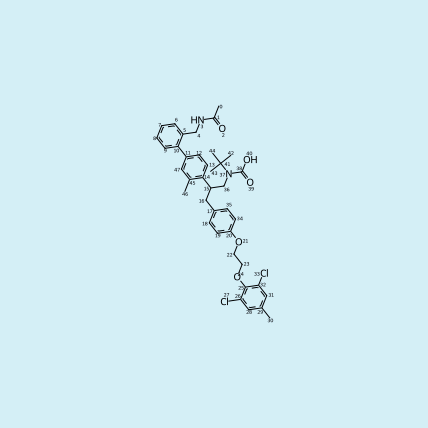 CC(=O)NCc1ccccc1-c1ccc(C(Cc2ccc(OCCOc3c(Cl)cc(C)cc3Cl)cc2)CN(C(=O)O)C(C)(C)C)c(C)c1